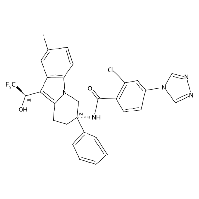 Cc1ccc2c(c1)c([C@@H](O)C(F)(F)F)c1n2C[C@@](NC(=O)c2ccc(-n3cnnc3)cc2Cl)(c2ccccc2)CC1